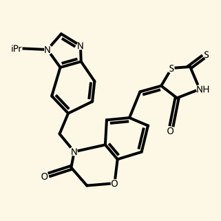 CC(C)n1cnc2ccc(CN3C(=O)COc4ccc(C=C5SC(=S)NC5=O)cc43)cc21